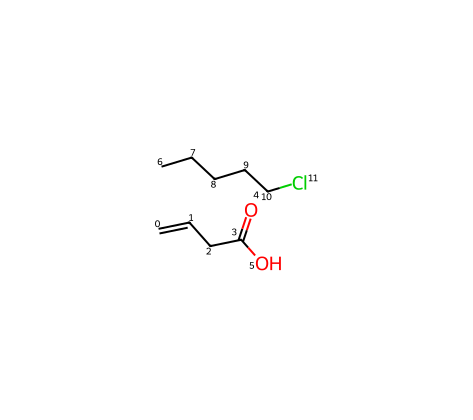 C=CCC(=O)O.CCCCCCl